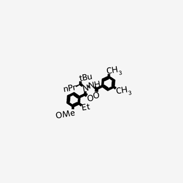 CCC[C@H](N(NC(=O)c1cc(C)cc(C)c1)C(=O)c1cccc(OC)c1CC)C(C)(C)C